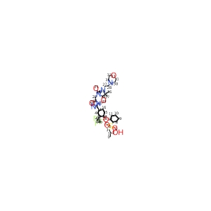 CC(O)CS(=O)(=O)c1ccccc1Oc1ccc(-c2noc(CN3C(=O)N(CCN4CCOCC4)C(C)(C)C3=O)n2)cc1C(F)(F)F